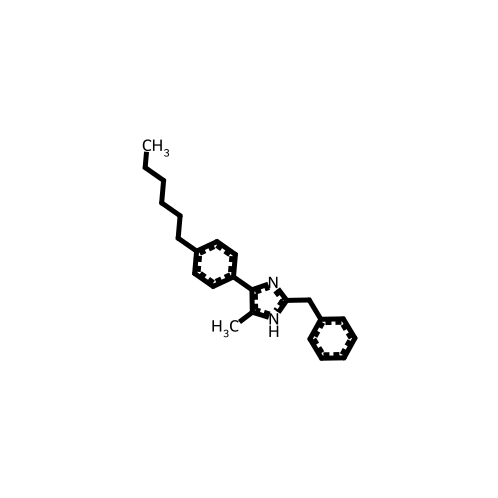 CCCCCCc1ccc(-c2nc(Cc3ccccc3)[nH]c2C)cc1